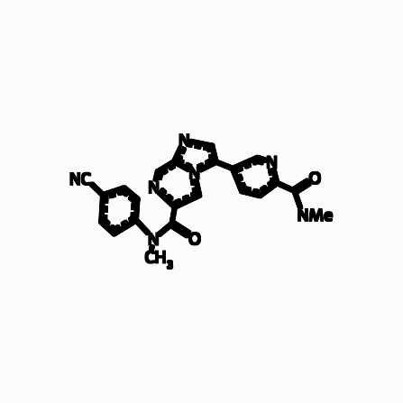 CNC(=O)c1ccc(-c2cnc3cnc(C(=O)N(C)c4ccc(C#N)cc4)cn23)cn1